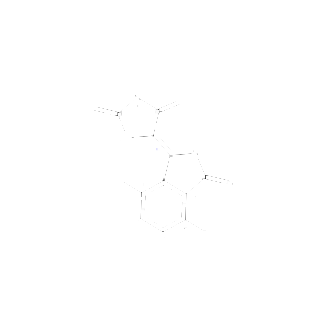 N=C1N/C(=C2/SC(=S)NC2=S)c2c(F)ccc(F)c21